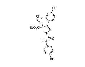 C=CCC1(C(=O)OCC)CN(C(=O)Nc2ccc(Br)cc2)N=C1c1ccc(Cl)cc1